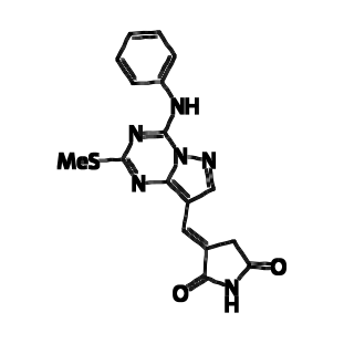 CSc1nc(Nc2ccccc2)n2ncc(/C=C3\CC(=O)NC3=O)c2n1